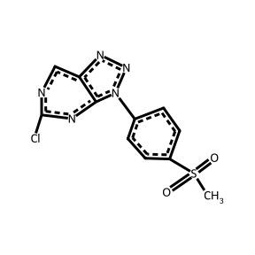 CS(=O)(=O)c1ccc(-n2nnc3cnc(Cl)nc32)cc1